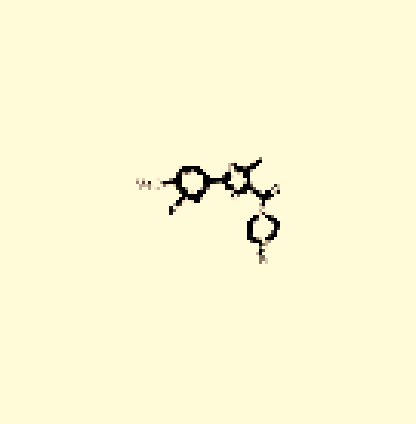 COc1ccc(-c2nc(C)c(C(=O)N3CCN(C(C)C)CC3)s2)cc1F